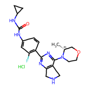 C[C@@H]1COCCN1c1nc(-c2ccc(NC(=O)NC3CC3)cc2F)nc2c1CNC2.Cl